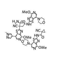 COc1ncc(-c2cnn(C)c2)c2sc(C(C#N)(CC(=O)Nc3nc4c(OC)ncc(N5CCOCC5)c4s3)C(N)=O)nc12.COc1ncc(N2CCOCC2)c2sc(NC(=O)C3(C#N)CC3)nc12